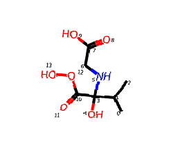 CC(C)C(O)(NCC(=O)O)C(=O)OO